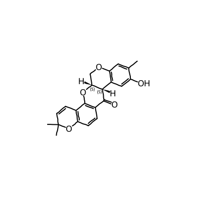 Cc1cc2c(cc1O)[C@@H]1C(=O)c3ccc4c(c3O[C@@H]1CO2)C=CC(C)(C)O4